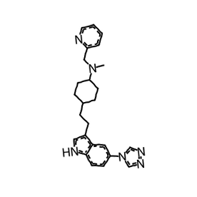 CN(Cc1ccccn1)C1CCC(CCc2c[nH]c3ccc(-n4cnnc4)cc23)CC1